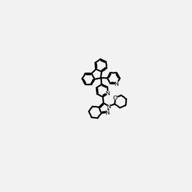 c1cncc(C2(c3ccc(-c4c5c(nn4C4CCCCO4)CCCC5)nc3)c3ccccc3-c3ccccc32)c1